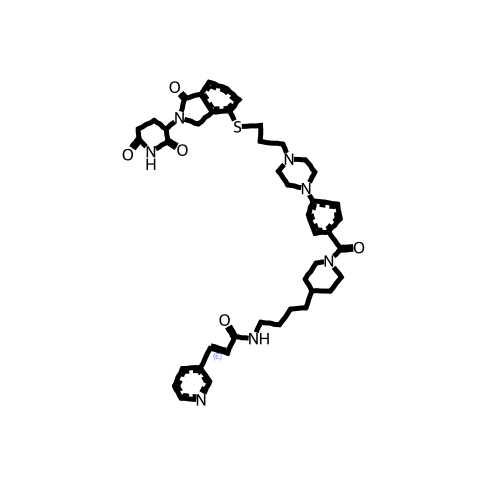 O=C(/C=C/c1cccnc1)NCCCCC1CCN(C(=O)c2ccc(N3CCN(CCCSc4cccc5c4CN(C4CCC(=O)NC4=O)C5=O)CC3)cc2)CC1